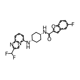 O=C(N[C@H]1CC[C@@H](Nc2cccc3nc(C(F)F)cn23)CC1)c1cc2cc(F)ccc2o1